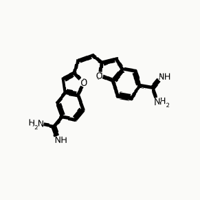 N=C(N)c1ccc2oc(/C=C\c3cc4cc(C(=N)N)ccc4o3)cc2c1